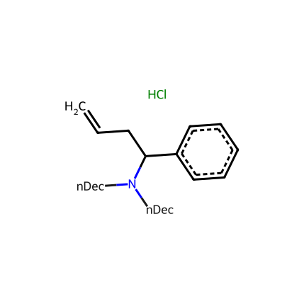 C=CCC(c1ccccc1)N(CCCCCCCCCC)CCCCCCCCCC.Cl